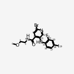 COCCNC(=O)c1cc(Br)ncc1Nc1ccc(I)cc1F